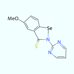 COc1ccc2[se]n(-c3ncccn3)c(=S)c2c1